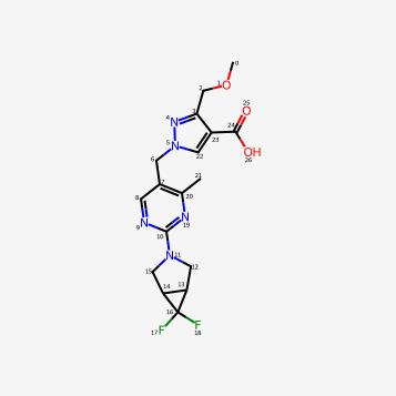 COCc1nn(Cc2cnc(N3CC4C(C3)C4(F)F)nc2C)cc1C(=O)O